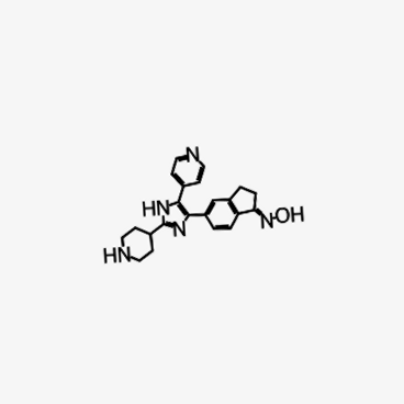 ON=C1CCc2cc(-c3nc(C4CCNCC4)[nH]c3-c3ccncc3)ccc21